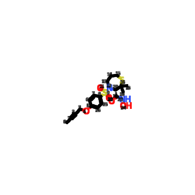 CC#CCOc1ccc(S(=O)(=O)N2CCCSC(C)(C)[C@@H]2C(=O)NO)cc1